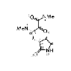 CNC(=O)C(=O)[C@H](C[C@@H]1CCNC1=O)NC